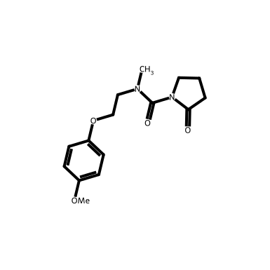 COc1ccc(OCCN(C)C(=O)N2CCCC2=O)cc1